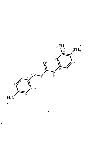 Nc1ccc(NCC(=O)Nc2ccc(P)c(P)c2)nc1